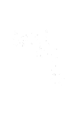 CCN1c2cc(OCCCN3CCOCC3)ccc2C(C#N)C1c1cccc(NS(=O)(=O)CC)c1